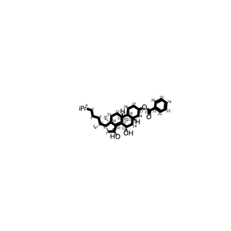 CC(C)CCC[C@@H](C)[C@H]1C[C@H](O)C2=C3[C@H](O)C[C@H]4CC(OC(=O)c5ccccc5)CC[C@]4(C)[C@H]3CC[C@@]21C